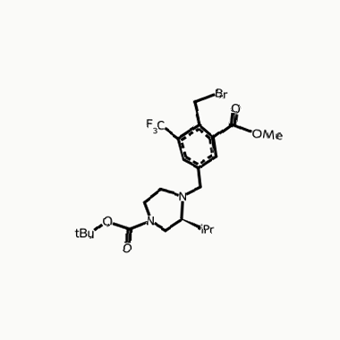 COC(=O)c1cc(CN2CCN(C(=O)OC(C)(C)C)C[C@@H]2C(C)C)cc(C(F)(F)F)c1CBr